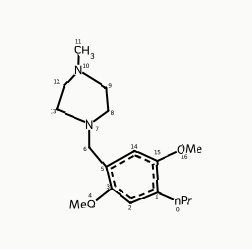 CCCc1cc(OC)c(CN2CCN(C)CC2)cc1OC